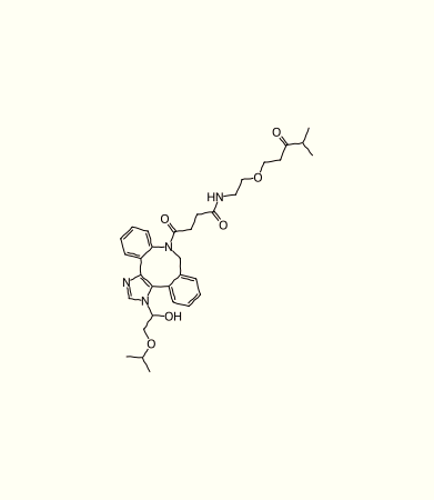 CC(C)OCC(O)n1cnc2c1-c1ccccc1CN(C(=O)CCC(=O)NCCOCCC(=O)C(C)C)c1ccccc1-2